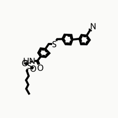 CCCCCCS(=O)(=O)NC(=O)c1ccc(CSCc2ccc(-c3cccc(C#N)c3)cc2)cc1